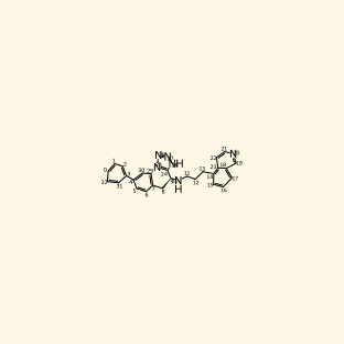 c1ccc(-c2ccc(C[C@H](NCCCc3cccc4cnccc34)c3nnn[nH]3)cc2)cc1